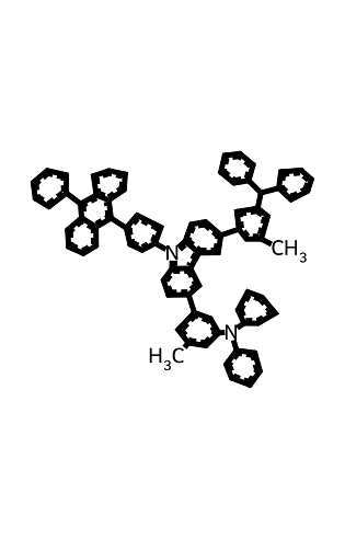 Cc1cc(-c2ccc3c(c2)c2cc(-c4cc(C)cc(N(c5ccccc5)c5ccccc5)c4)ccc2n3-c2ccc(-c3c4ccccc4c(-c4ccccc4)c4ccccc34)cc2)cc(C(c2ccccc2)c2ccccc2)c1